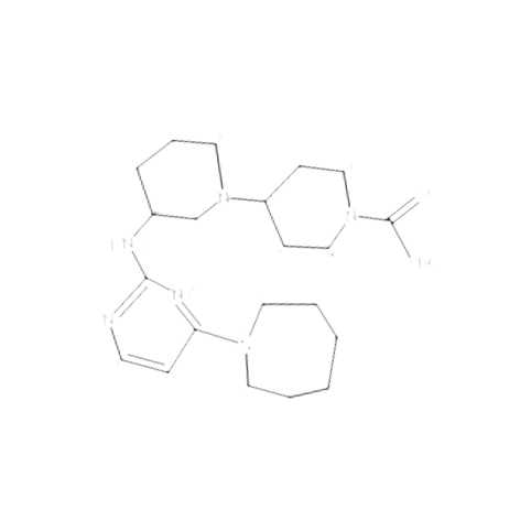 CCCCC(=O)N1CCC(N2CCCC(Nc3nccc(N4CCCCCC4)n3)C2)CC1